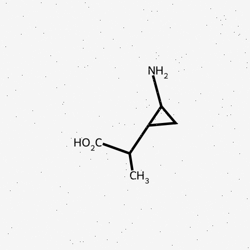 CC(C(=O)O)C1CC1N